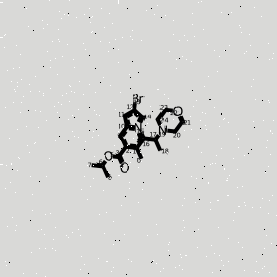 Cc1c(C(=O)OC(C)C)cc2cc(Br)cn2c1C(C)N1CCOCC1